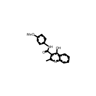 COc1ccc(NC(=O)c2c(C)nc3ccccc3c2O)cc1